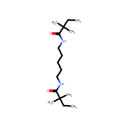 CCC(C)(C)C(=O)NCCCCCNC(=O)C(C)(C)CC